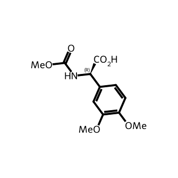 COC(=O)N[C@@H](C(=O)O)c1ccc(OC)c(OC)c1